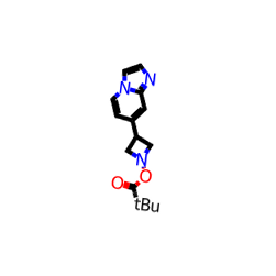 CC(C)(C)C(=O)ON1CC(c2ccn3ccnc3c2)C1